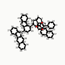 C[C@@H]1C/C=C(c2cccc(-c3ccccc3)c2)/N=C(c2ccc(-n3c4ccccc4c4cc5ccccc5cc43)c3sc4ccccc4c23)\N=C/1c1ccc2ccccc2c1